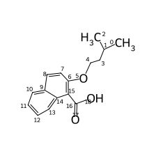 CC(C)CCOc1ccc2ccccc2c1C(=O)O